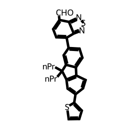 CCCC1(CCC)c2cc(-c3cccs3)ccc2-c2ccc(-c3ccc(C=O)c4nsnc34)cc21